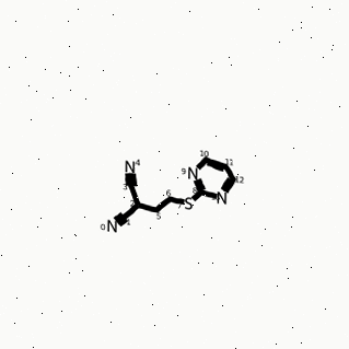 N#CC(C#N)CCSc1ncccn1